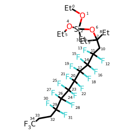 CCO[Si](CC)(OCC)OC(CC)(CC)CC(F)(F)C(F)(F)C(F)(F)C(F)(F)C(F)(F)C(F)(F)C(F)(F)CCC(F)(F)F